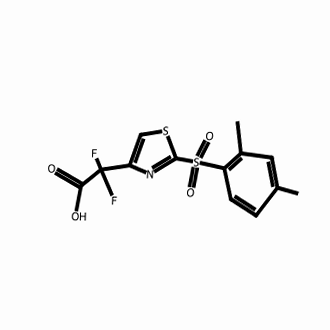 Cc1ccc(S(=O)(=O)c2nc(C(F)(F)C(=O)O)cs2)c(C)c1